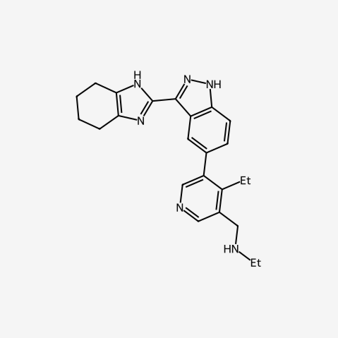 CCNCc1cncc(-c2ccc3[nH]nc(-c4nc5c([nH]4)CCCC5)c3c2)c1CC